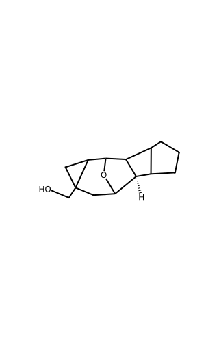 OCC12CC3OC(C4C5CCCC5[C@@H]34)C1C2